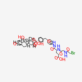 C[C@]12C=CC(=O)C=C1CC[C@@H]1[C@@H]2[C@@H](O)C[C@@]2(C)[C@H]1C[C@H]1O[C@@H](c3ccc(CC45CCC(NC(=O)[C@H](CCC(=O)O)NC(=O)CNC(=O)CBr)(CC4)CO5)cc3)O[C@]12C(=O)CO